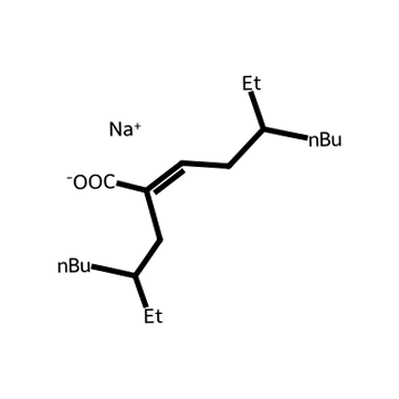 CCCCC(CC)CC=C(CC(CC)CCCC)C(=O)[O-].[Na+]